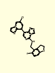 Fc1ccc2c(c1CNc1ncc(-c3cc(Cl)cn4ccnc34)c3nncn13)CCO2